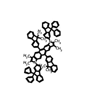 Cc1c(C)n(-c2ccc3c(c2)C(c2ccccc2)(c2ccccc2)c2ccccc2-3)c2cc3c(-c4ccc5c(c4)C(C)(C)c4ccccc4-5)c4cc5c(C)c(C)n(-c6ccc7c(c6)C(c6ccccc6)(c6ccccc6)c6ccccc6-7)c5cc4c(-c4ccc5c(c4)C(C)(C)c4ccccc4-5)c3cc12